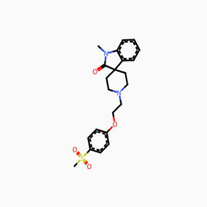 CN1C(=O)C2(CCN(CCOc3ccc(S(C)(=O)=O)cc3)CC2)c2ccccc21